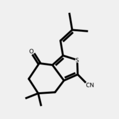 CC(C)=Cc1sc(C#N)c2c1C(=O)CC(C)(C)C2